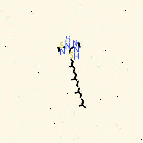 CC(C)=CCC/C(C)=C/CC/C(C)=C/CC/C(C)=C/CSCC(Nc1nccs1)c1ncc[nH]1